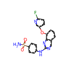 NS(=O)(=O)c1ccc(Nc2ncc3cccc(Oc4ccc(F)nc4)c3n2)cc1